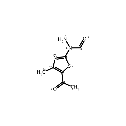 CC(=O)c1sc(N(N)C=O)nc1C